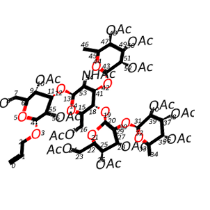 C=CCO[C@@H]1OC(COC(C)=O)[C@H](OC(C)=O)[C@H](O[C@@H]2OC(COC(C)=O)[C@@H](O[C@@H]3OC(COC(C)=O)[C@H](OC(C)=O)[C@H](OC(C)=O)C3O[C@@H]3OC(C)[C@@H](OC(C)=O)[C@H](OC(C)=O)C3OC(C)=O)[C@H](O[C@@H]3OC(C)[C@@H](OC(C)=O)C(OC(C)=O)[C@H]3OC(C)=O)C2NC(C)=O)C1OC(C)=O